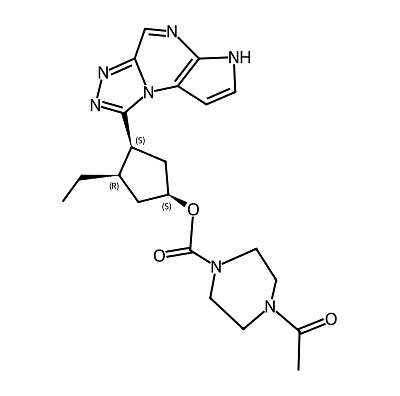 CC[C@@H]1C[C@H](OC(=O)N2CCN(C(C)=O)CC2)C[C@@H]1c1nnc2cnc3[nH]ccc3n12